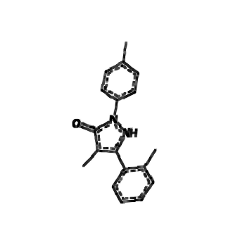 Cc1ccc(-n2[nH]c(-c3ccccc3C)c(C)c2=O)cc1